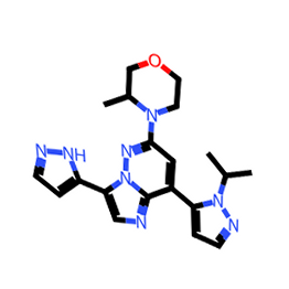 CC1COCCN1c1cc(-c2ccnn2C(C)C)c2ncc(-c3ccn[nH]3)n2n1